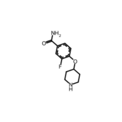 NC(=O)c1ccc(OC2CCNCC2)c(F)c1